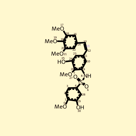 COc1ccc(S(=O)(=O)Nc2cc(/C=C\c3cc(OC)c(OC)c(OC)c3)cc(O)c2OC)cc1O